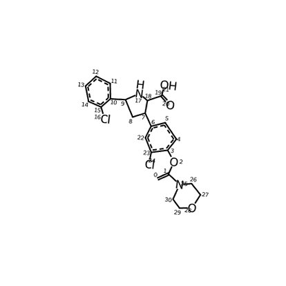 C=C(Oc1ccc(C2CC(c3ccccc3Cl)NC2C(=O)O)cc1Cl)N1CCOCC1